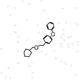 c1ccc(Oc2ccc(CCOCC3CCCCC3)cc2)cc1